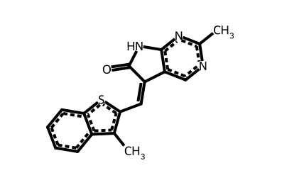 Cc1ncc2c(n1)NC(=O)C2=Cc1sc2ccccc2c1C